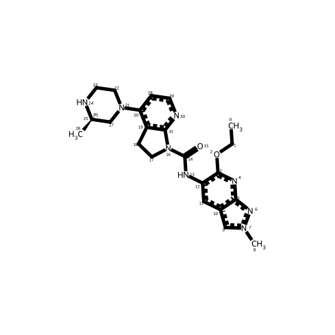 CCOc1nc2nn(C)cc2cc1NC(=O)N1CCc2c(N3CCN[C@H](C)C3)ccnc21